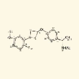 CCOc1cc(N2CC(Oc3ccc([C@H](C)NC(C)=O)cc3)C2)c(F)cn1